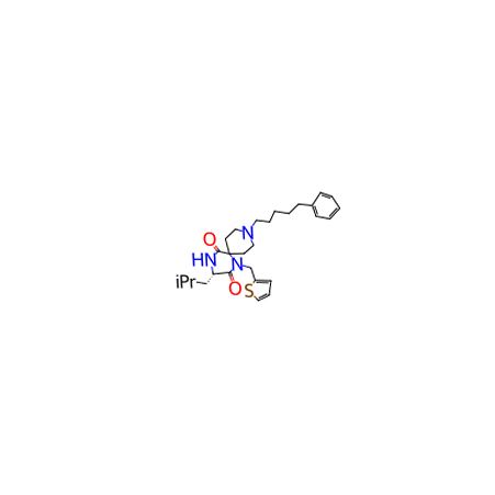 CC(C)C[C@@H]1NC(=O)C2(CCN(CCCCCc3ccccc3)CC2)N(Cc2cccs2)C1=O